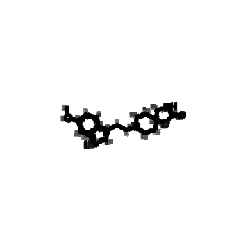 COc1ccc2c(CCN3CCC4(CC3)CNC(=O)O4)c[nH]c2c1